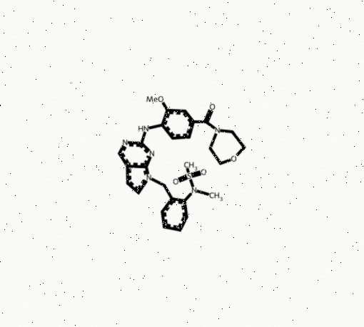 COc1cc(C(=O)N2CCOCC2)ccc1Nc1ncc2ccn(Cc3ccccc3N(C)S(C)(=O)=O)c2n1